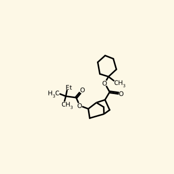 CCC(C)(C)C(=O)OC1CC2CC(C(=O)OC3(C)CCCCC3)C1C2